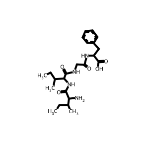 CCC(C)C(N)C(=O)NC(C(=O)NCC(=O)NC(Cc1ccccc1)C(=O)O)C(C)CC